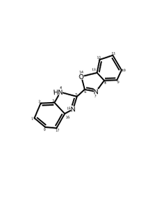 c1ccc2[nH]c(-c3nc4ccccc4o3)nc2c1